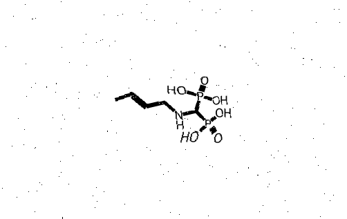 CC=CCNC(P(=O)(O)O)P(=O)(O)O